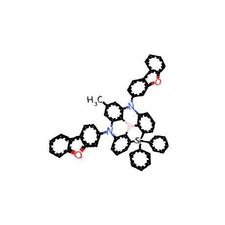 Cc1cc2c3c(c1)N(c1ccc4c(c1)oc1ccccc14)c1cccc4c1B3c1c(cccc1[Si]4(c1ccccc1)c1ccccc1)N2c1ccc2c(c1)oc1ccccc12